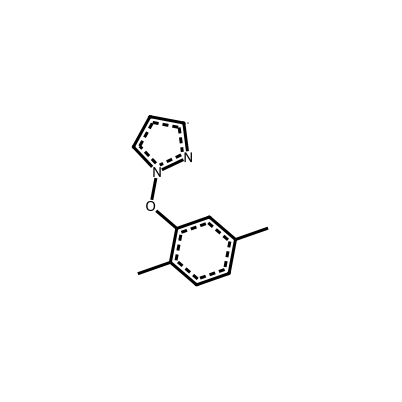 Cc1ccc(C)c(On2cc[c]n2)c1